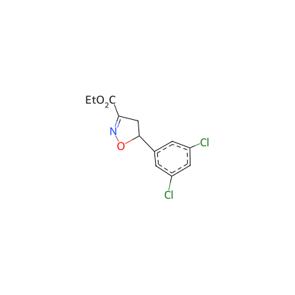 CCOC(=O)C1=NOC(c2cc(Cl)cc(Cl)c2)C1